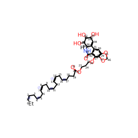 CC/C=C\C/C=C\C/C=C\C/C=C\C/C=C\C/C=C\CCC(=O)OCCCOc1c2c(cc3c1C(=O)N[C@@H]1C3=C[C@H](O)[C@@H](O)[C@H]1O)OCO2